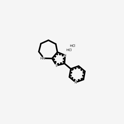 Cl.Cl.c1cncc(-c2nc3c(s2)NCCCC3)c1